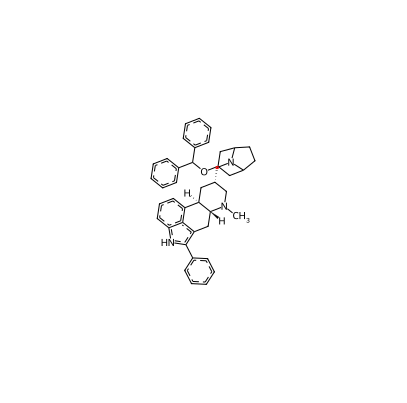 CN1C[C@@H](CN2C3CCC2CC(OC(c2ccccc2)c2ccccc2)C3)C[C@@H]2c3cccc4[nH]c(-c5ccccc5)c(c34)C[C@H]21